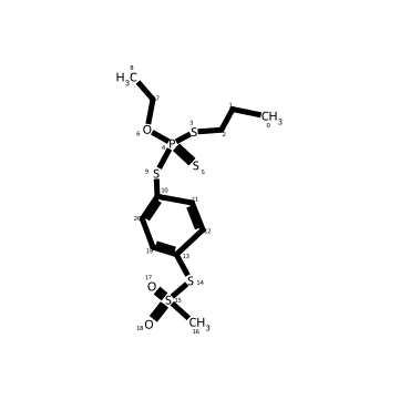 CCCSP(=S)(OCC)Sc1ccc(SS(C)(=O)=O)cc1